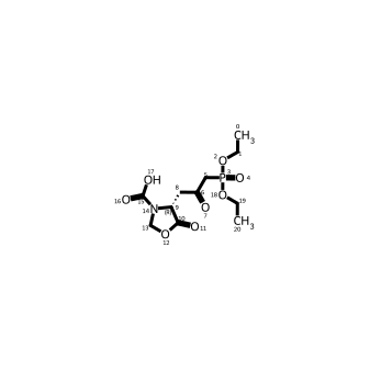 CCOP(=O)(CC(=O)C[C@@H]1C(=O)OCN1C(=O)O)OCC